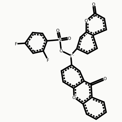 O=c1ccc2ccc([I+](OS(=O)(=O)c3ccc(F)cc3F)c3ccc4oc5ccccc5c(=O)c4c3)cc2o1